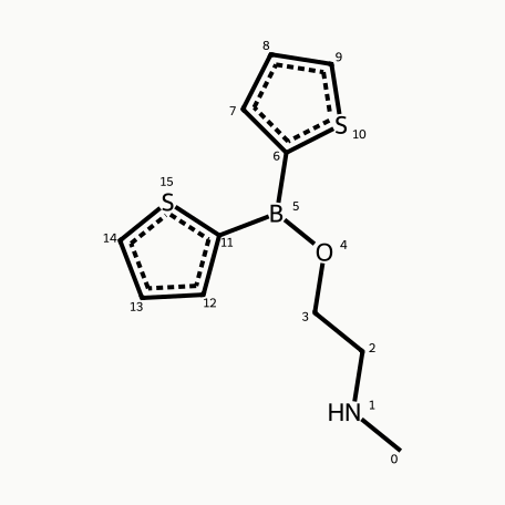 CNCCOB(c1cccs1)c1cccs1